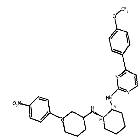 O=[N+]([O-])c1ccc(N2CCCC(N[C@@H]3CCCC[C@H]3Nc3nccc(-c4ccc(OC(F)(F)F)cc4)n3)C2)cc1